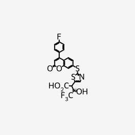 O=C(O)C(c1cnc(Sc2ccc3c(-c4ccc(F)cc4)cc(=O)oc3c2)s1)[C@@H](O)C(F)(F)F